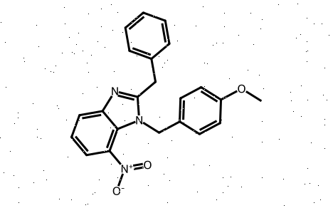 COc1ccc(Cn2c(Cc3ccccc3)nc3cccc([N+](=O)[O-])c32)cc1